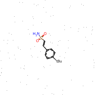 CC(C)(C)c1ccc(C=CS(N)(=O)=O)cc1